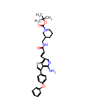 CC(C)(C)OC(=O)N1CCCC(CNC(=O)C=Cc2cnc(N)c3c(-c4ccc(Oc5ccccc5)cc4)csc23)C1